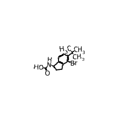 CC(C)(C)c1ccc2c(c1Br)CCC2NC(=O)O